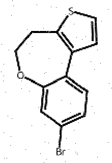 Brc1ccc2c(c1)OCCc1sccc1-2